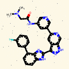 CN(C)CC(=O)Nc1cncc(-c2cc3c(-c4nc5c(-c6cccc(F)c6)cccc5[nH]4)n[nH]c3cn2)c1